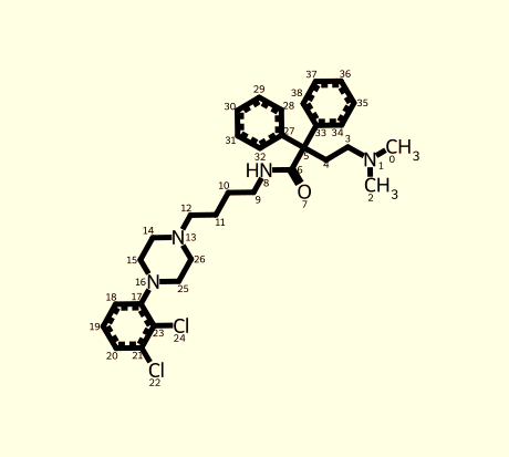 CN(C)CCC(C(=O)NCCCCN1CCN(c2cccc(Cl)c2Cl)CC1)(c1ccccc1)c1ccccc1